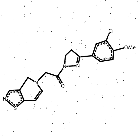 COc1ccc(C2=NN(C(=O)CN3C=Cc4sncc4C3)CC2)cc1Cl